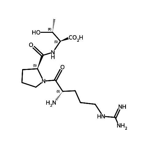 C[C@@H](O)[C@H](NC(=O)[C@@H]1CCCN1C(=O)[C@@H](N)CCCNC(=N)N)C(=O)O